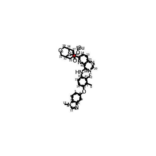 Cc1c(Oc2ccc3c(c2)ncn3C)ccc(Nc2ncnc3ccc(C4=CC5COCC(C4)N5C(=O)OC(C)(C)C)nc23)c1F